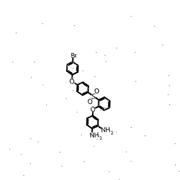 Nc1ccc(Oc2ccccc2S(=O)(=O)c2ccc(Oc3ccc(Br)cc3)cc2)cc1N